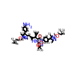 Cc1nn(COCC[Si](C)(C)C)c(C)c1-c1ccc(NC(=O)[C@@H](NC(=O)OC(C)(C)C)C(C2CC2)C2CC2Cc2nn(COCC[Si](C)(C)C)c(C)c2-c2ccc(N)cc2)cc1